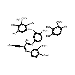 CCCCC#CC(=Nc1ccc(CCCCC)c(CCCCC)c1)C(CCCC)=Nc1ccc(CCCCC)c(CCCCC)c1.CCCc1ccc(O)c(O)c1C(=O)[O-].CCCc1ccc(O)c(O)c1C(=O)[O-].[Pd+2]